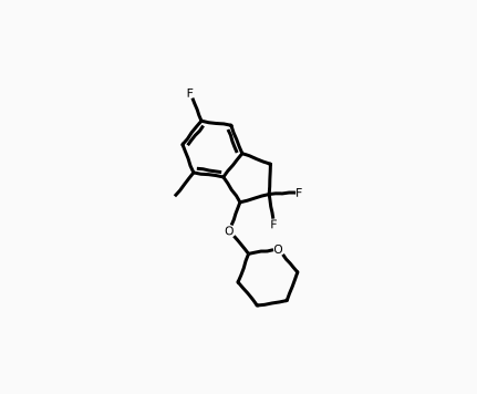 Cc1cc(F)cc2c1C(OC1CCCCO1)C(F)(F)C2